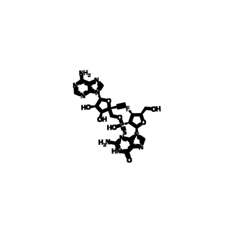 C#C[C@]1(COP(O)(=S)[C@@H]2[C@H](F)[C@@H](CO)O[C@H]2n2cnc3c(=O)[nH]c(N)nc32)O[C@@H](n2cnc3c(N)ncnc32)[C@H](O)[C@@H]1O